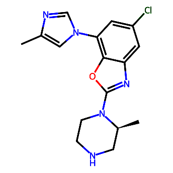 Cc1cn(-c2cc(Cl)cc3nc(N4CCNC[C@@H]4C)oc23)cn1